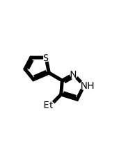 [CH2]Cc1c[nH]nc1-c1cccs1